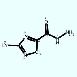 CC(C)c1noc(C(=O)NN)n1